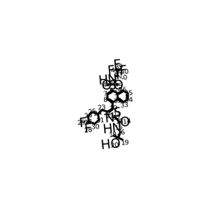 C[C@H](NS(=O)(=O)c1ccc(-c2sc(C(=O)NCC(C)(C)O)nc2CC2CCC(F)(F)CC2)c2ccccc12)C(F)(F)F